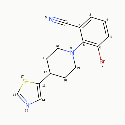 N#Cc1cccc(Br)c1N1CCC(c2cncs2)CC1